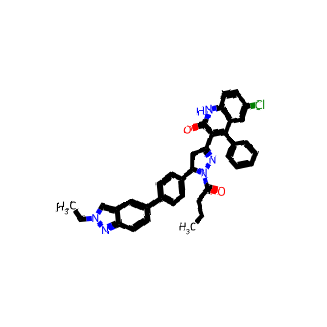 CCCC(=O)N1N=C(c2c(-c3ccccc3)c3cc(Cl)ccc3[nH]c2=O)CC1c1ccc(-c2ccc3nn(CC)cc3c2)cc1